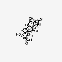 C[C@H]1C[C@@H]2[C@H]([C@@H](O)C[C@@]3(C)[C@H]2CC[C@]3(OC(=O)C(Cl)Cl)C(=O)O)[C@@]2(C)C=CC(=O)C=C12